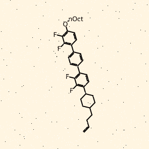 C=CCCC1CCC(c2ccc(-c3ccc(-c4ccc(OCCCCCCCC)c(F)c4F)cc3)c(F)c2F)CC1